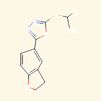 CCC(Sc1nnc(-c2ccc3c(c2)CCO3)o1)C(=O)O